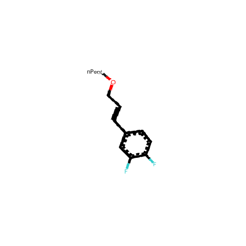 [CH2]CCCCOCC=Cc1ccc(F)c(F)c1